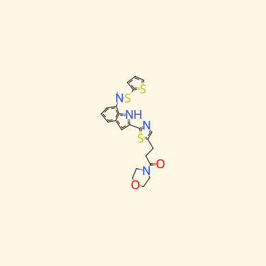 CN(Sc1cccs1)c1cccc2cc(-c3ncc(CCC(=O)N4CCOCC4)s3)[nH]c12